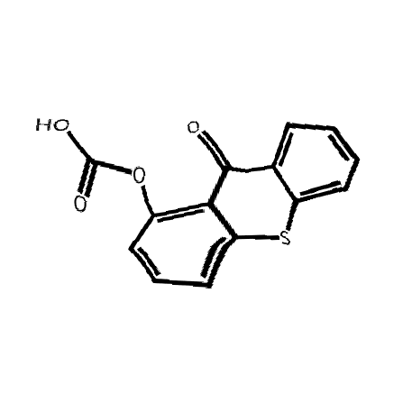 O=C(O)Oc1cccc2sc3ccccc3c(=O)c12